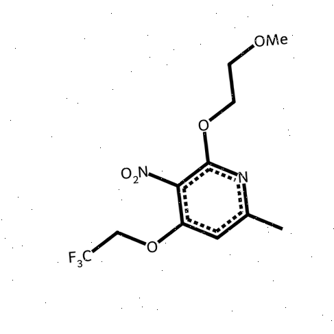 COCCOc1nc(C)cc(OCC(F)(F)F)c1[N+](=O)[O-]